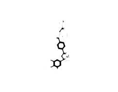 O=C(CNC(=O)c1ccc(C2=NOC(c3cc(Cl)c(Cl)c(C(F)(F)F)c3)(C(F)(F)F)C2)cc1)NCC(F)(F)F